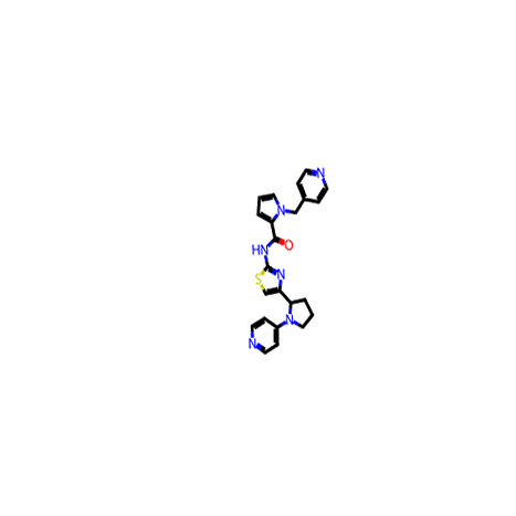 O=C(Nc1nc(C2CCCN2c2ccncc2)cs1)c1cccn1Cc1ccncc1